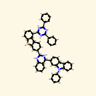 c1ccc(-c2nc(-c3ccccc3)nc(-c3cccc4sc5cc(-c6nc(-c7ccc8c9ccccc9n(-c9ccccc9)c8c7)c7ccccc7n6)ccc5c34)n2)cc1